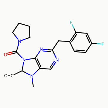 CN1c2cnc(Cc3ccc(F)cc3F)nc2N(C(=O)N2CCCC2)C1C=O